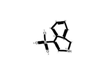 O=S(=O)(Cl)C1=CNCc2ccccc21